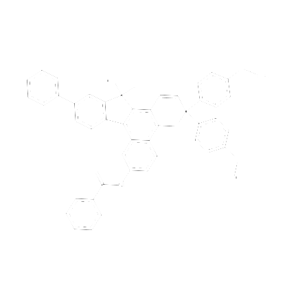 CCCCOc1ccc(C2(c3ccc(OCCCC)cc3)C=Cc3c4c(c5cc(NC(=O)c6ccccc6)ccc5c3O2)-c2ccc(-c3ccccc3)cc2C4(CCC)CCC)cc1